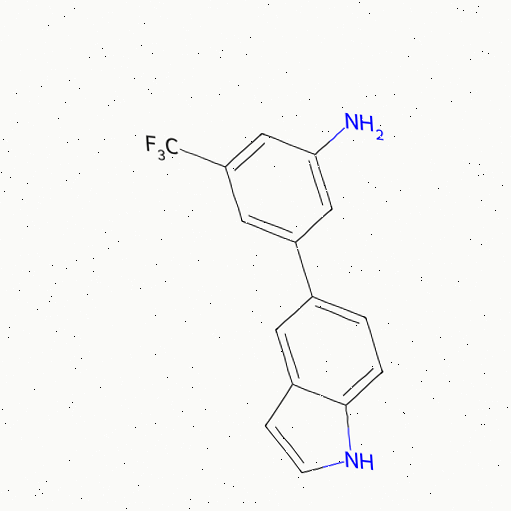 Nc1cc(-c2ccc3[nH]ccc3c2)cc(C(F)(F)F)c1